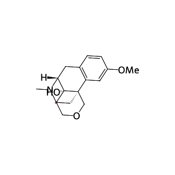 COc1ccc2c(c1)[C@]13CCN(C)[C@H](C2)[C@]1(O)CCOC3